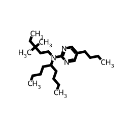 CCCCc1cnc(N(CCC(C)(C)CC)C(CCCC)CCCC)nc1